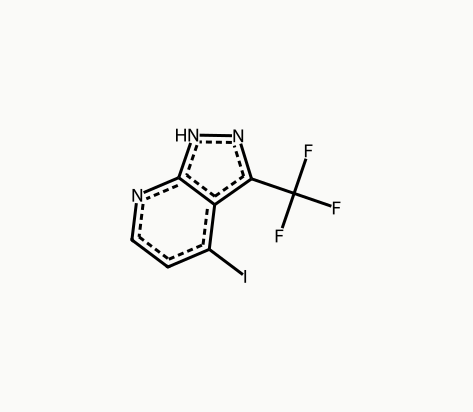 FC(F)(F)c1n[nH]c2nccc(I)c12